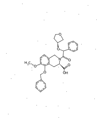 COc1ccc2c(c1OCc1ccccc1)C[C@H](C(=O)O)N(C(=O)C(O[C@H]1CCOC1)c1ccccc1)C2